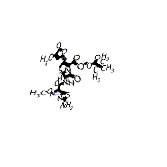 CO/N=C(\C(=O)N[C@@H]1C(=O)N2C(C(=O)OCOC(=O)C(C)(C)C)=C(/C=C3\C=C(C)C(=O)O3)CS[C@H]12)c1csc(N)n1